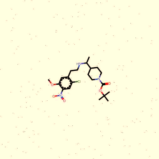 COc1cc(CCNC(C)C2CCN(C(=O)OC(C)(C)C)CC2)c(Cl)cc1[N+](=O)[O-]